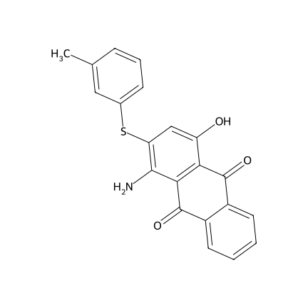 Cc1cccc(Sc2cc(O)c3c(c2N)C(=O)c2ccccc2C3=O)c1